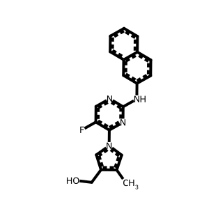 Cc1cn(-c2nc(Nc3ccc4ccccc4c3)ncc2F)cc1CO